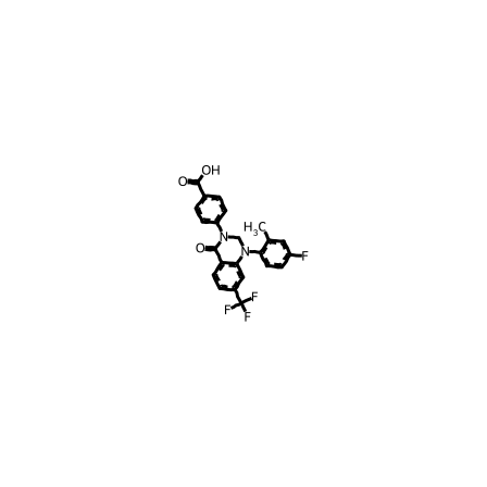 Cc1cc(F)ccc1N1CN(c2ccc(C(=O)O)cc2)C(=O)c2ccc(C(F)(F)F)cc21